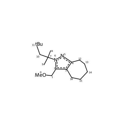 COCc1c2c(nn1C(C)(C)CC(C)(C)C)CCCCC2